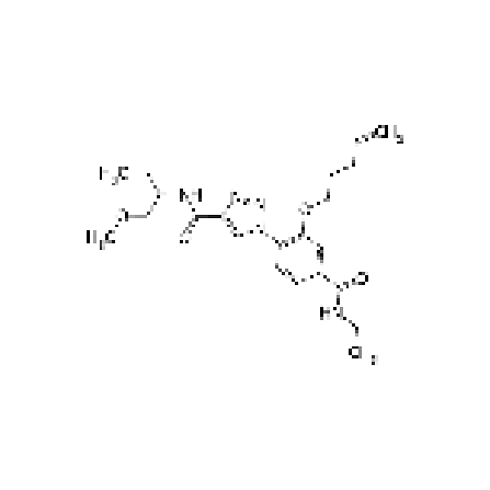 C=CCCCOc1cc(C(=O)NCC)ccc1-n1cc(C(=O)NC(CC)COC)nn1